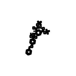 CC(C)(C)ONC(=O)[C@@]1(C)CN(C(=O)OC(C)(C)C)CC[C@H]1NS(=O)(=O)c1ccc(OCc2ccccc2)cc1